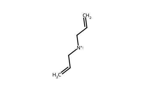 C=CC[N+]CC=C